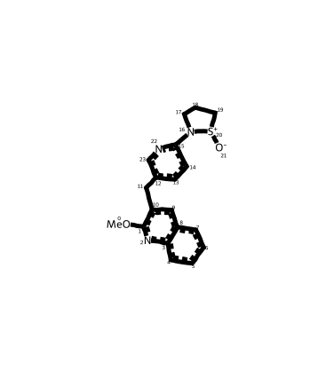 COc1nc2ccccc2cc1Cc1ccc(N2CCC[S+]2[O-])nc1